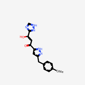 COc1ccc(Cc2cc(C(=O)C=C(O)c3nc[nH]n3)[nH]n2)cc1